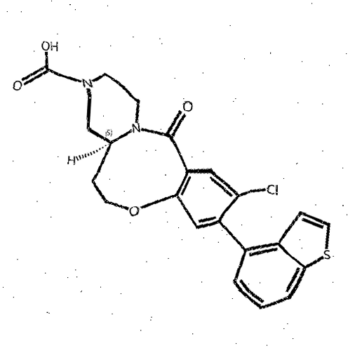 O=C(O)N1CCN2C(=O)c3cc(Cl)c(-c4cccc5sccc45)cc3OCC[C@H]2C1